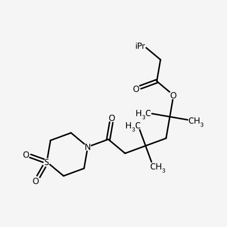 CC(C)CC(=O)OC(C)(C)CC(C)(C)CC(=O)N1CCS(=O)(=O)CC1